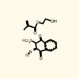 C=C(C)C(=O)OCCO.[N-]=[N+]=C1C(=O)c2ccccc2C(=O)C1S(=O)(=O)O